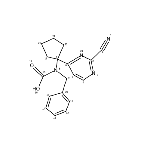 N#Cc1nccc(C2(N(Cc3ccccc3)C(=O)O)CCCC2)n1